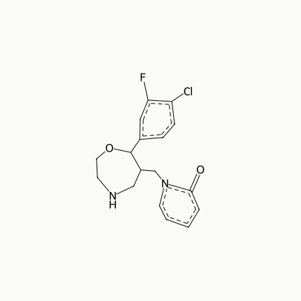 O=c1ccccn1CC1CNCCOC1c1ccc(Cl)c(F)c1